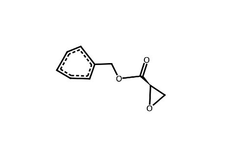 O=C(OCc1ccccc1)[C@H]1CO1